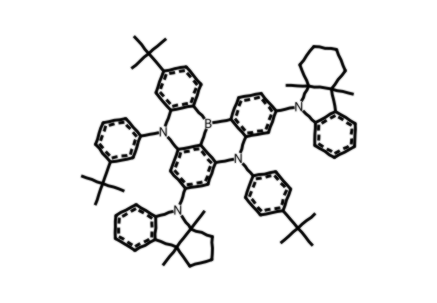 CC(C)(C)c1ccc(N2c3cc(N4c5ccccc5C5(C)CCCCC45C)ccc3B3c4ccc(C(C)(C)C)cc4N(c4cccc(C(C)(C)C)c4)c4cc(N5c6ccccc6C6(C)CCCC56C)cc2c43)cc1